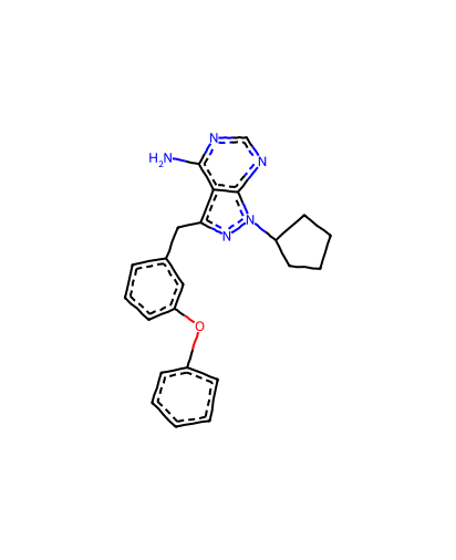 Nc1ncnc2c1c(Cc1cccc(Oc3ccccc3)c1)nn2C1CCCC1